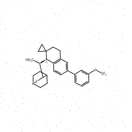 O=C(O)N(C1CN2CCC1CC2)[C@@H]1c2ccc(-c3cccc(OC(F)(F)F)c3)cc2CCC12CC2